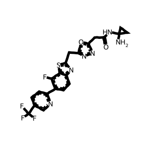 NC1(NC(=O)Cc2nnc(Cc3nc4ccc(-c5ccc(C(F)(F)F)cn5)c(F)c4s3)o2)CC1